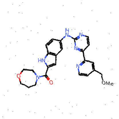 COCc1ccnc(-c2ccnc(Nc3ccc4[nH]c(C(=O)N5CCCOCC5)cc4c3)n2)c1